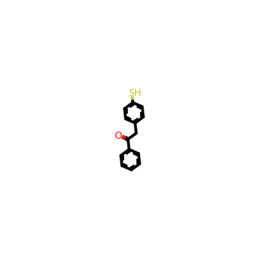 O=C(Cc1ccc(S)cc1)c1ccccc1